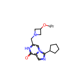 CC(C)OC1CN(Cc2cn3c(C4CCCC4)ncc3c(=O)[nH]2)C1